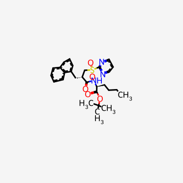 CCCC[C@H](NC(=O)[C@H](Cc1cccc2ccccc12)CS(=O)(=O)c1ncccn1)C(=O)OC(C)(C)C